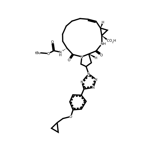 CC(C)(C)OC(=O)N[C@@H]1CCCCC/C=C\[C@@H]2C[C@]2(C(=O)O)NC(=O)[C@@H]2CC(n3nnc(-c4ccc(OCC5CC5)cc4)n3)CN2C1=O